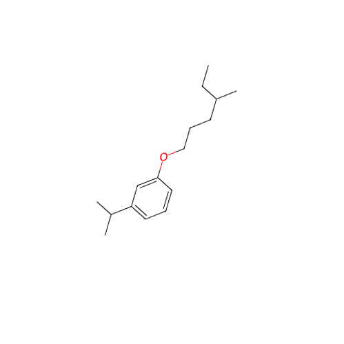 CCC(C)CCCOc1cccc(C(C)C)c1